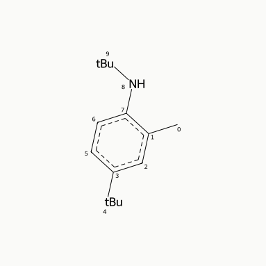 Cc1cc(C(C)(C)C)ccc1NC(C)(C)C